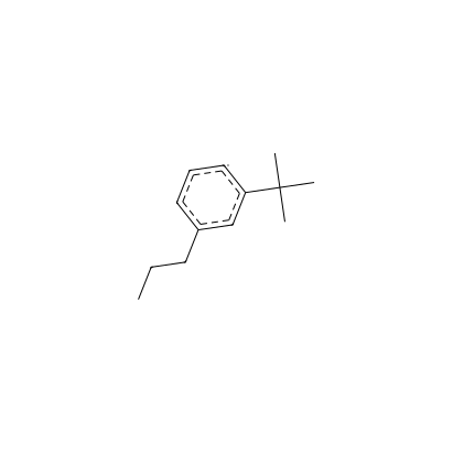 CCCc1cc[c]c(C(C)(C)C)c1